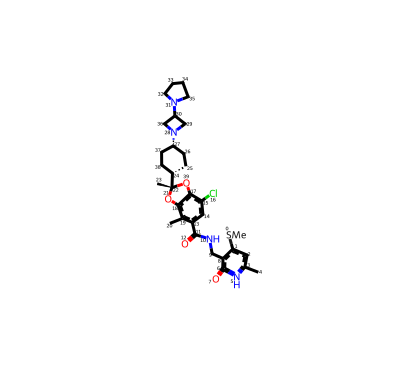 CSc1cc(C)[nH]c(=O)c1CNC(=O)c1cc(Cl)c2c(c1C)O[C@](C)([C@H]1CC[C@@H](N3CC(N4CCCC4)C3)CC1)O2